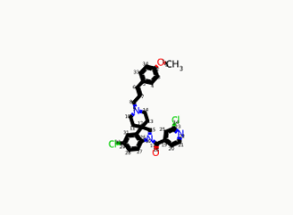 COc1ccc(C=CCN2CCC3(CC2)CN(C(=O)c2ccnc(Cl)c2)c2ccc(Cl)cc23)cc1